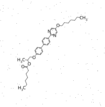 CCCCCCCOc1cnc(-c2ccc(-c3ccc(OCC(C)OC(=O)CCCCCC)cc3)cc2)nc1